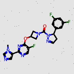 Cn1cncc1-c1ncc(F)c(OC2CN(C(=O)N3N=CCC3c3cc(F)cc(F)c3)C2)n1